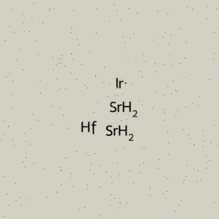 [Hf].[Ir].[SrH2].[SrH2]